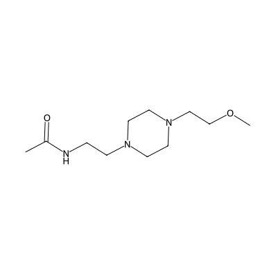 COCCN1CCN(CCNC(C)=O)CC1